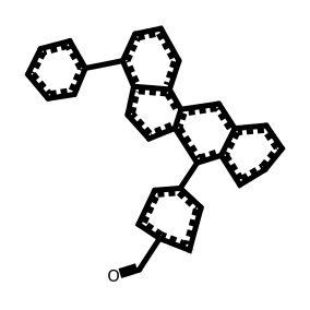 O=Cc1ccc(-c2c3ccccc3cc3c2ccc2c(-c4ccccc4)cccc23)cc1